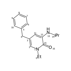 CCn1cc(Cc2ccccc2)cc(NC(C)C)c1=O